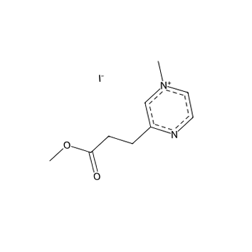 COC(=O)CCc1c[n+](C)ccn1.[I-]